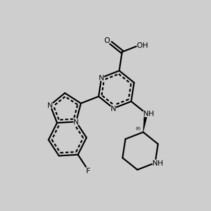 O=C(O)c1cc(N[C@@H]2CCCNC2)nc(-c2cnc3ccc(F)cn23)n1